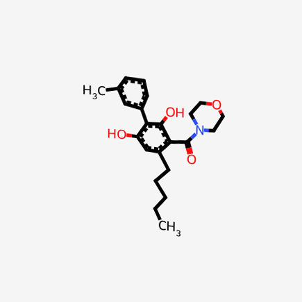 CCCCCc1cc(O)c(-c2cccc(C)c2)c(O)c1C(=O)N1CCOCC1